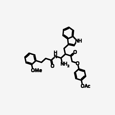 COc1ccccc1CCC(=O)NC(N)C(Cc1c[nH]c2ccccc12)C(=O)COc1ccc(OC(C)=O)cc1